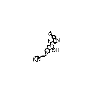 COc1ccc2nccc([C@@H](F)CC[C@@H]3CCN(CC#Cc4ccncn4)C[C@@H]3C(=O)O)c2c1